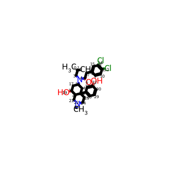 CC(C)CN(C(=O)Cc1ccc(Cl)c(Cl)c1)C1CC(O)C2CN(C)CCC2(c2cccc(O)c2)C1